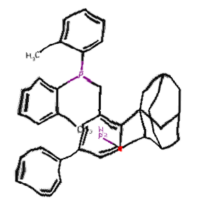 Cc1ccccc1P(Cc1cc(-c2ccccc2)ccc1C12CC3CC(CC(C3)C1CP)C2)c1ccccc1C